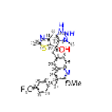 COc1nc2ccc(CC(O)(C3=CNNN3C)c3sc(C)nc3C)cc2cc1Cc1ccc(C(F)(F)F)cc1